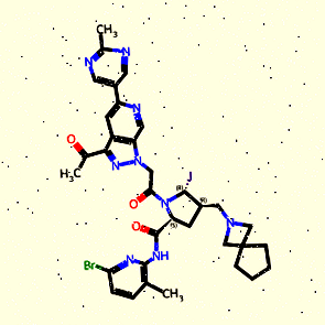 CC(=O)c1nn(CC(=O)N2[C@H](I)[C@@H](CN3CC4(CCCC4)C3)C[C@H]2C(=O)Nc2nc(Br)ccc2C)c2cnc(-c3cnc(C)nc3)cc12